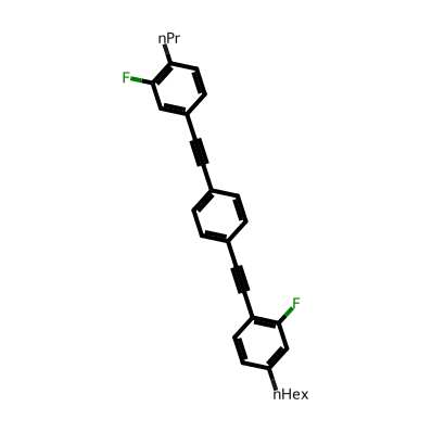 CCCCCCc1ccc(C#Cc2ccc(C#Cc3ccc(CCC)c(F)c3)cc2)c(F)c1